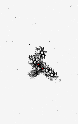 [2H]C1=C(SC([2H])([2H])c2c([2H])c([2H])c([2H])c(F)c2F)N(C([2H])([2H])C(=O)N(C([2H])([2H])c2c([2H])c([2H])c(-c3c([2H])c([2H])c(C(F)(F)F)c([2H])c3[2H])c([2H])c2C)C2([2H])C([2H])([2H])C([2H])([2H])N(C([2H])([2H])C([2H])([2H])OC([2H])([2H])[2H])C([2H])([2H])C2([2H])[2H])c2c([2H])c([2H])c([2H])c([2H])c2C1O